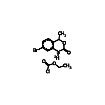 CCOC(=O)Cl.[2H]N1C(=O)OC(C)c2ccc(Br)cc21